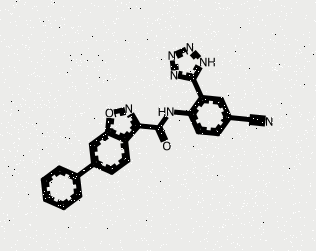 N#Cc1ccc(NC(=O)c2noc3cc(-c4ccccc4)ccc23)c(-c2nnn[nH]2)c1